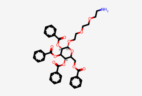 NCCOCCOCCO[C@H]1OC(COC(=O)c2ccccc2)[C@@H](OC(=O)c2ccccc2)C(OC(=O)c2ccccc2)[C@H]1OC(=O)c1ccccc1